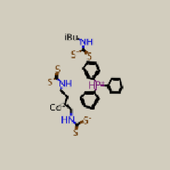 CCC(C)NC(=S)[S-].S=C([S-])NCCCCNC(=S)[S-].[Cd+2].c1ccc([PH+](c2ccccc2)c2ccccc2)cc1